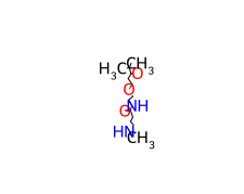 CNCCCC(=O)NCCOCCC(=O)C(C)C